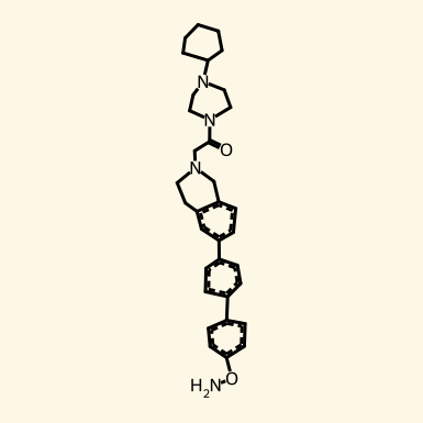 NOc1ccc(-c2ccc(-c3ccc4c(c3)CCN(CC(=O)N3CCN(C5CCCCC5)CC3)C4)cc2)cc1